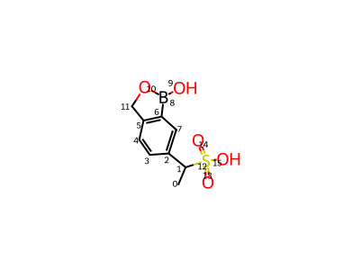 CC(c1ccc2c(c1)B(O)OC2)S(=O)(=O)O